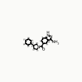 Nc1n[nH]c2ccc(C(=O)N3CCC(c4ccccc4)C3)cc12